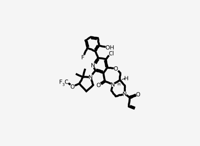 C=CC(=O)N1CCN2C(=O)c3c(N4CCC(OC(F)(F)F)C4(C)C)nc(-c4c(O)cccc4F)c(Cl)c3OC[C@H]2C1